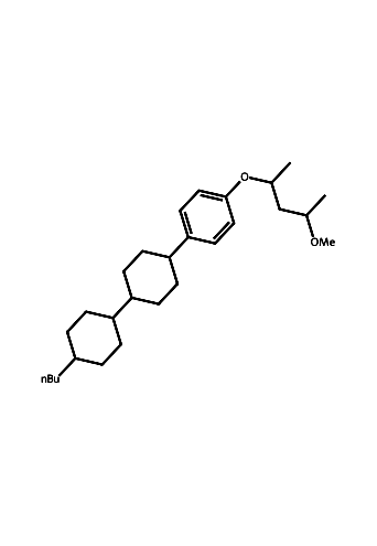 CCCCC1CCC(C2CCC(c3ccc(OC(C)CC(C)OC)cc3)CC2)CC1